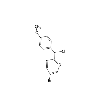 FC(F)(F)Oc1ccc(C(Cl)c2ccc(Br)cn2)cc1